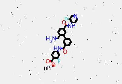 CCCOC(=O)c1ccc(NC(=O)c2cccc(-c3cc(C(=O)Nc4ccncc4F)ccc3CN)c2)cc1F